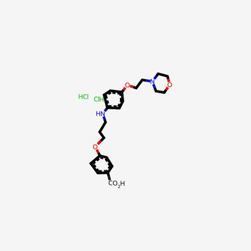 Cl.Cl.O=C(O)c1ccc(OCCCNc2ccc(OCCN3CCOCC3)cc2)cc1